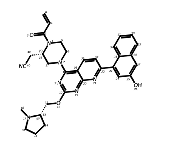 C=CC(=O)N1CCN(c2nc(OC[C@@H]3CCCN3C)nc3nc(-c4cc(O)cc5ccccc45)ccc23)C[C@@H]1CC#N